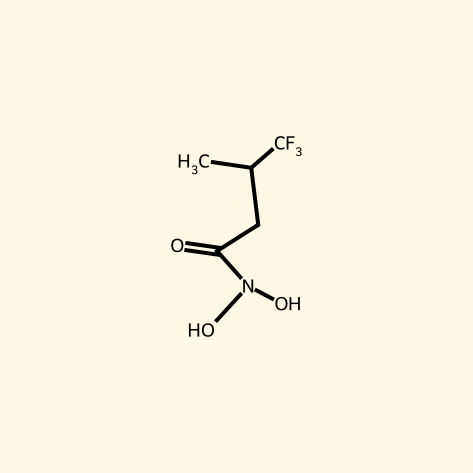 CC(CC(=O)N(O)O)C(F)(F)F